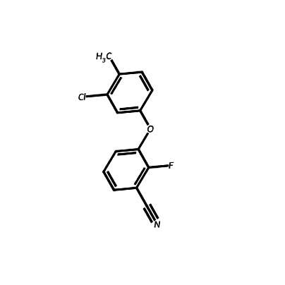 Cc1ccc(Oc2cccc(C#N)c2F)cc1Cl